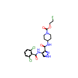 O=C(NC1CCN(C(=O)OCCF)CC1)c1n[nH]cc1NC(=O)c1c(Cl)cccc1Cl